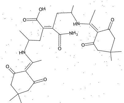 CC(NC(C)CC(C(N)=O)=C(CC(C)NC(C)=C1C(=O)CC(C)(C)CC1=O)C(=O)O)=C1C(=O)CC(C)(C)CC1=O